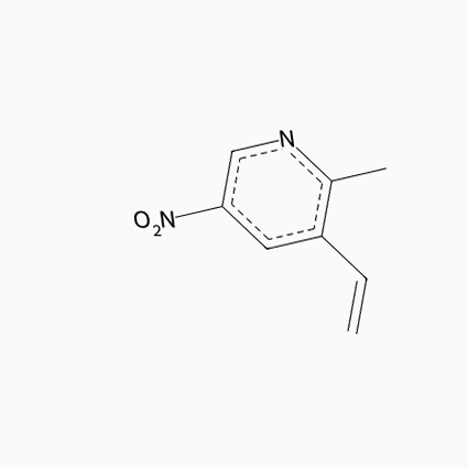 C=Cc1cc([N+](=O)[O-])cnc1C